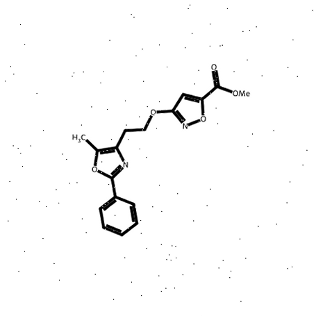 COC(=O)c1cc(OCCc2nc(-c3ccccc3)oc2C)no1